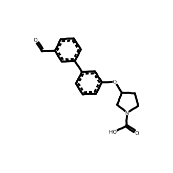 O=Cc1cccc(-c2cccc(OC3CCN(C(=O)O)C3)c2)c1